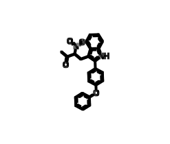 CC(=O)C(Cc1c(-c2ccc(Oc3ccccc3)cc2)[nH]c2ccccc12)[N+](=O)[O-]